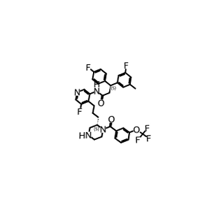 Cc1cc(F)cc([C@@H](CC(=O)Nc2cncc(F)c2CCC[C@H]2CNCCN2C(=O)c2cccc(OC(F)(F)F)c2)c2ccc(F)cc2)c1